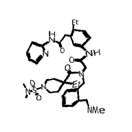 CCc1ccc(NC(=O)CN(Cc2ccccc2CNC)C(=O)C2(CC)CCN(S(=O)(=O)N(C)C)CC2)cc1CC(=O)Nc1ccccn1